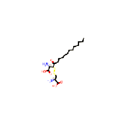 CCCCCCCCCCCCC(=O)C(SSC[C@H](N)C(=O)O)[C@H](N)C(=O)O